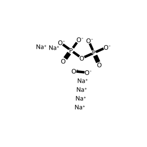 O=P([O-])([O-])OP(=O)([O-])[O-].[Na+].[Na+].[Na+].[Na+].[Na+].[Na+].[O-][O-]